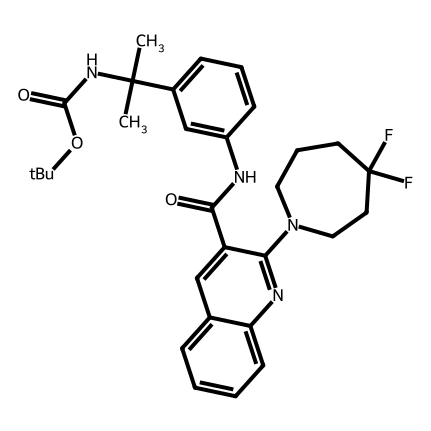 CC(C)(C)OC(=O)NC(C)(C)c1cccc(NC(=O)c2cc3ccccc3nc2N2CCCC(F)(F)CC2)c1